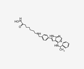 CC(Nc1ncnc2[nH]c(-c3ccc(CNCCCCCCC(=O)NO)cc3)cc12)c1ccccc1